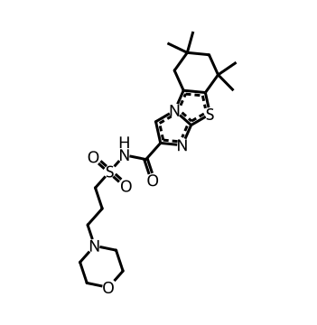 CC1(C)Cc2c(sc3nc(C(=O)NS(=O)(=O)CCCN4CCOCC4)cn23)C(C)(C)C1